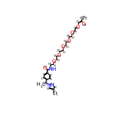 CCc1cnn(C(C)c2ccc(C(=O)NCCOCCOCCOCCOCCOCCOCC(=O)C(C)C)cc2)c1